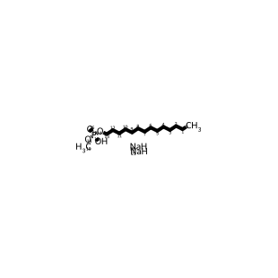 CCCCCCCCCCCCCCOP(=O)(O)OC.[NaH].[NaH]